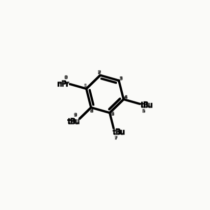 CCCc1ccc(C(C)(C)C)c(C(C)(C)C)c1C(C)(C)C